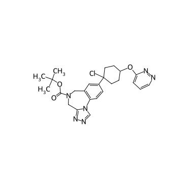 CC(C)(C)OC(=O)N1Cc2cc(C3(Cl)CCC(Oc4cccnn4)CC3)ccc2-n2cnnc2C1